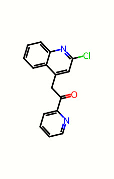 O=C(Cc1cc(Cl)nc2ccccc12)c1ccccn1